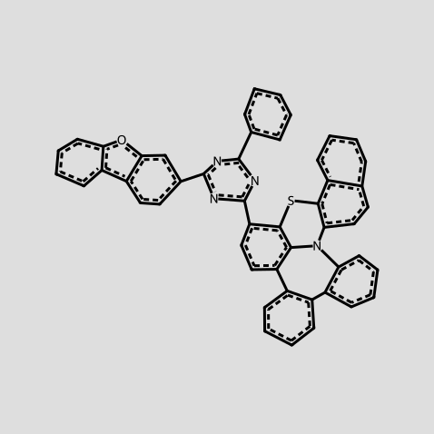 c1ccc(-c2nc(-c3ccc4c(c3)oc3ccccc34)nc(-c3ccc4c5c3Sc3c(ccc6ccccc36)N5c3ccccc3-c3ccccc3-4)n2)cc1